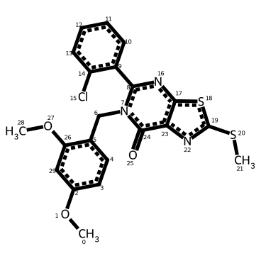 COc1ccc(Cn2c(-c3ccccc3Cl)nc3sc(SC)nc3c2=O)c(OC)c1